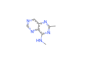 CNc1nc(C)nc2cncnc12